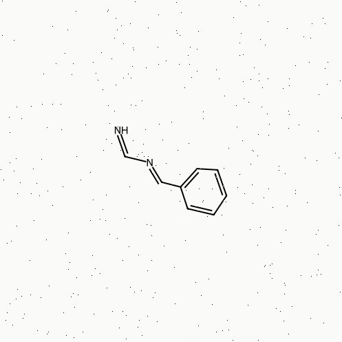 N=C/N=C/c1ccccc1